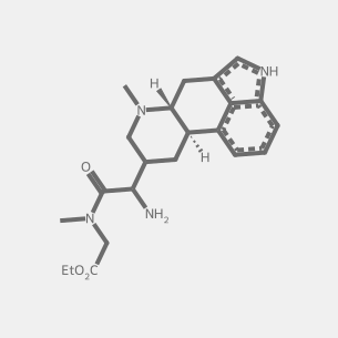 CCOC(=O)CN(C)C(=O)C(N)C1C[C@@H]2c3cccc4[nH]cc(c34)C[C@H]2N(C)C1